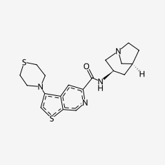 O=C(N[C@@H]1C[C@@H]2CCN(C2)C1)c1cc2c(N3CCSCC3)csc2cn1